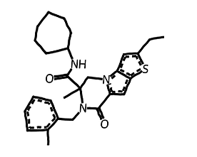 CCc1cc2c(cc3n2CC(C)(C(=O)NC2CCCCCC2)N(Cc2ccccc2C)C3=O)s1